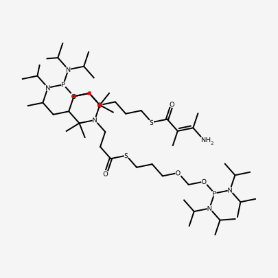 C/C(N)=C(/C)C(=O)SCCCOCOP(N(C(C)C)C(C)C)N(C(C)C)C(C)CC1CCC(C)(C)N(CCC(=O)SCCCOCOP(N(C(C)C)C(C)C)N(C(C)C)C(C)C)C1(C)C